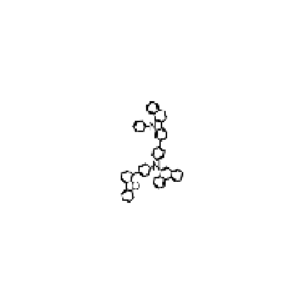 c1ccc(-n2c3cc(-c4ccc(N(c5ccc(-c6cccc7c6oc6ccccc67)cc5)c5cc6ccccc6c6ccccc56)cc4)ccc3c3ccc4ccccc4c32)cc1